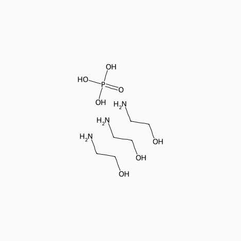 NCCO.NCCO.NCCO.O=P(O)(O)O